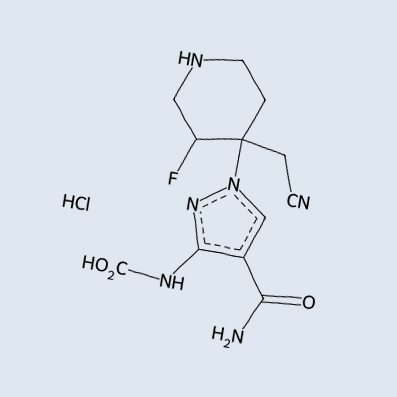 Cl.N#CCC1(n2cc(C(N)=O)c(NC(=O)O)n2)CCNCC1F